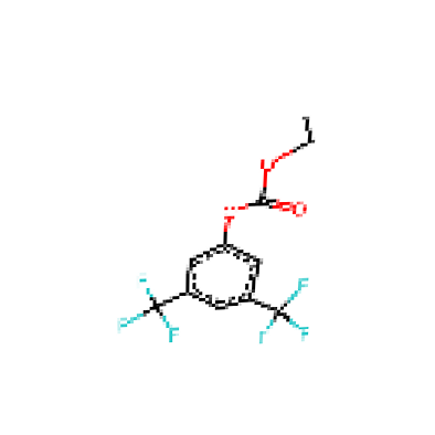 CCOC(=O)Oc1cc(C(F)(F)F)cc(C(F)(F)F)c1